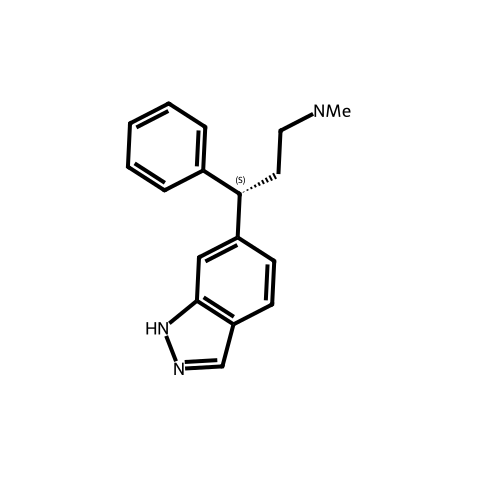 CNCC[C@@H](c1ccccc1)c1ccc2cn[nH]c2c1